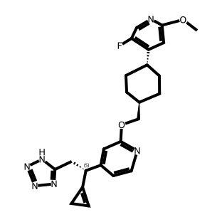 COc1cc([C@H]2CC[C@H](COc3cc([C@@H](Cc4nnn[nH]4)C4=CC4)ccn3)CC2)c(F)cn1